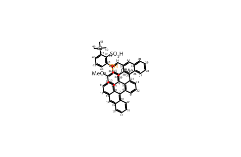 COc1ccc(-c2c(-c3c4ccccc4cc4ccccc34)cccc2-c2c3ccccc3cc3ccccc23)c(OC)c1Pc1cccc([Si](C)(C)C)c1S(=O)(=O)O